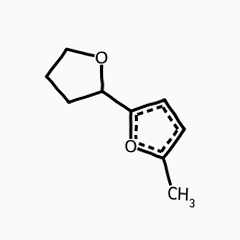 Cc1ccc(C2CCCO2)o1